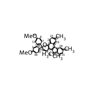 COc1ccc(C2(c3ccc(OC)cc3)C=Cc3c4c(c5cc(C)ccc5c3O2)-c2cc(C)ccc2C4(C)C)cc1